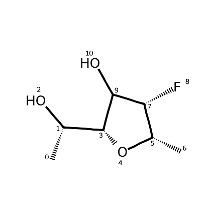 C[C@H](O)[C@H]1O[C@@H](C)[C@@H](F)C1O